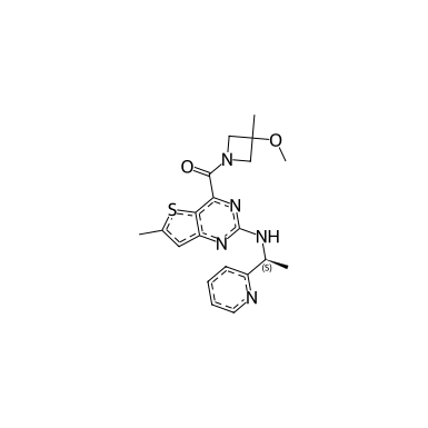 COC1(C)CN(C(=O)c2nc(N[C@@H](C)c3ccccn3)nc3cc(C)sc23)C1